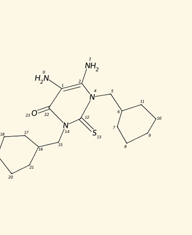 Nc1c(N)n(CC2CCCCC2)c(=S)n(CC2CCCCC2)c1=O